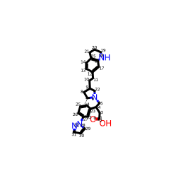 O=C(O)CC(CN1CCC(CCc2ccc3c(c2)NCCC3)C1)c1cccc(-n2cccn2)c1